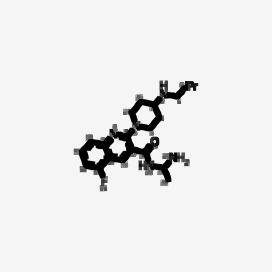 CC(C)CNC1CCN(c2nc3cccc(F)c3cc2C(=O)NC(C)N)CC1